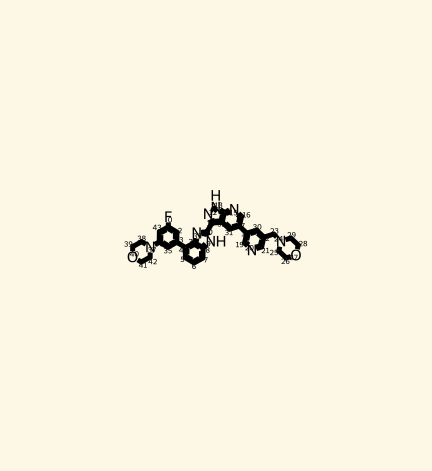 Fc1cc(-c2cccc3[nH]c(-c4n[nH]c5ncc(-c6cncc(CN7CCOCC7)c6)cc45)nc23)cc(N2CCOCC2)c1